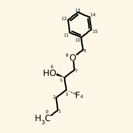 CCC[C@@H](F)[C@@H](O)COCc1ccccc1